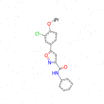 CC(C)Oc1ccc(-c2cc(C(=O)Nc3ccccc3)no2)cc1Cl